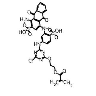 C=C(C)C(=O)OCCOc1nc(Cl)nc(Nc2ccc(S(=O)(=O)O)c(Nc3cc(S(=O)(=O)O)c(N)c4c3C(=O)c3ccccc3C4=O)c2)n1